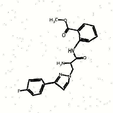 COC(=O)c1ccccc1NC(=O)C(N)Cn1ccc(-c2ccc(F)cc2)n1